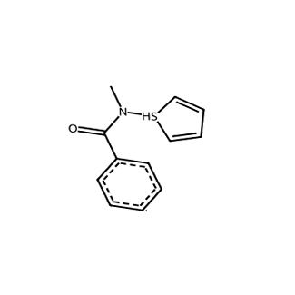 CN(C(=O)c1cc[c]cc1)[SH]1C=CC=C1